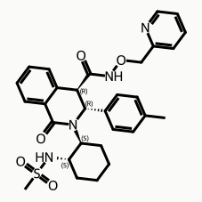 Cc1ccc([C@H]2[C@H](C(=O)NOCc3ccccn3)c3ccccc3C(=O)N2[C@H]2CCCC[C@@H]2NS(C)(=O)=O)cc1